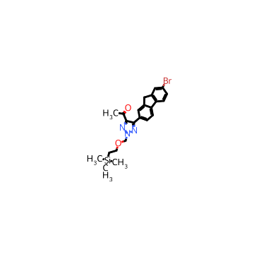 CC(=O)c1nn(COCC[Si](C)(C)C)nc1-c1ccc2c(c1)Cc1cc(Br)ccc1-2